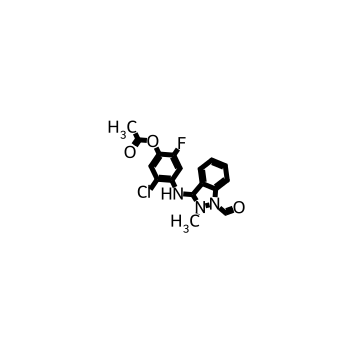 CC(=O)Oc1cc(Cl)c(NC2c3ccccc3N(C=O)N2C)cc1F